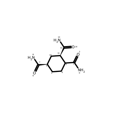 NC(=O)C1CC[C@@H](C(N)=O)C[C@H]1C(N)=O